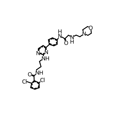 O=C(CNCCN1CCOCC1)Nc1ccc(-c2ccnc(NCCCNC(=O)c3c(Cl)cccc3Cl)n2)cc1